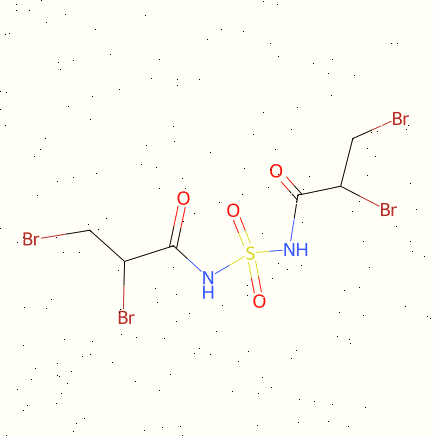 O=C(NS(=O)(=O)NC(=O)C(Br)CBr)C(Br)CBr